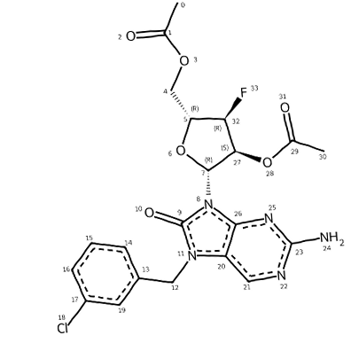 CC(=O)OC[C@H]1O[C@@H](n2c(=O)n(Cc3cccc(Cl)c3)c3cnc(N)nc32)[C@H](OC(C)=O)[C@@H]1F